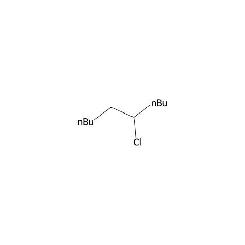 [CH2]CCCCC(Cl)CCCC